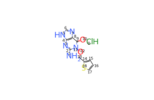 Cl.Nc1nc2[nH]cnc2c(=O)n1OCc1cccs1